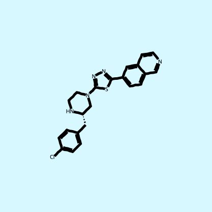 Clc1ccc(C[C@H]2CN(c3nnc(-c4ccc5cnccc5c4)s3)CCN2)cc1